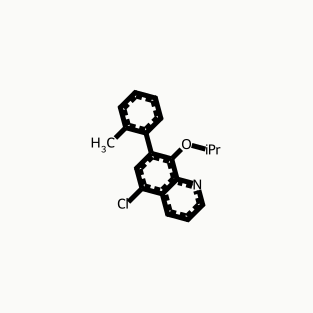 Cc1ccccc1-c1cc(Cl)c2cccnc2c1OC(C)C